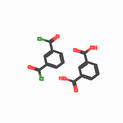 O=C(Cl)c1cccc(C(=O)Cl)c1.O=C(O)c1cccc(C(=O)O)c1